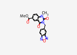 COC(=O)c1ccc2c(c1)c(=O)n(Cc1ccc3nonc3c1)c(=O)n2C